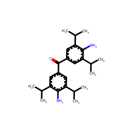 CC(C)c1cc(C(=O)c2cc(C(C)C)c(N)c(C(C)C)c2)cc(C(C)C)c1N